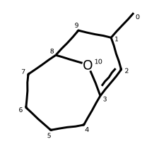 CC1C=C2CCCCC(C1)O2